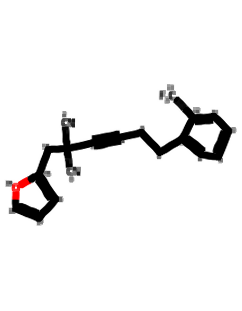 N#CC(C#N)(C#CCCc1ccccc1C(F)(F)F)Cc1ccco1